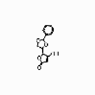 O=C1C=C(O)C(C2COC(c3ccccc3)O2)O1